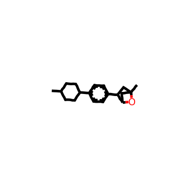 CC1CCC(c2ccc(C3CC4(C)CC3O4)cc2)CC1